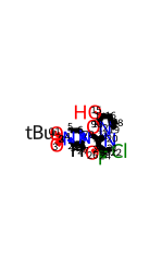 CC(C)(C)OC(=O)N1CCN2C(=O)c3c(N4C[C@@H](O)CC4(C)C)nc(Cl)c(F)c3OC[C@H]2C1